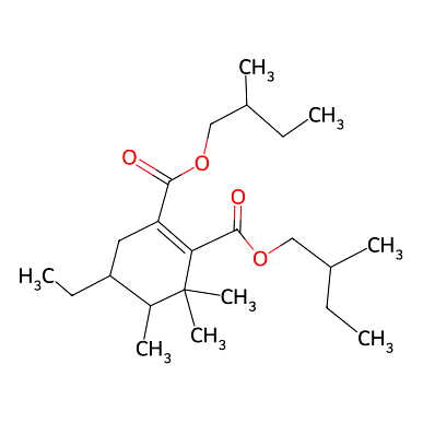 CCC(C)COC(=O)C1=C(C(=O)OCC(C)CC)C(C)(C)C(C)C(CC)C1